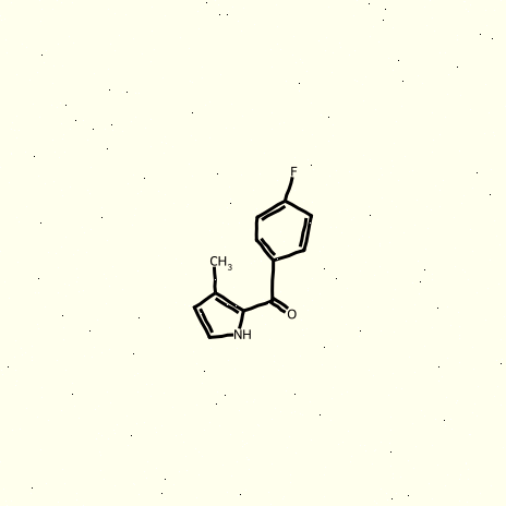 Cc1cc[nH]c1C(=O)c1ccc(F)cc1